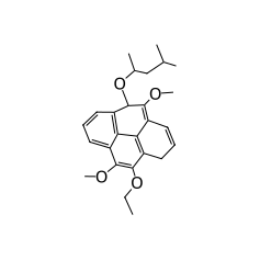 CCOc1c2c3c4c(cccc4c1OC)C(OC(C)CC(C)C)C(OC)=C3C=CC2